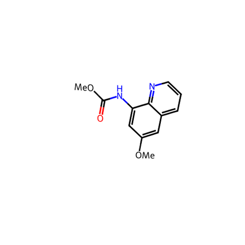 COC(=O)Nc1cc(OC)cc2cccnc12